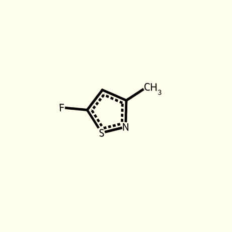 Cc1cc(F)sn1